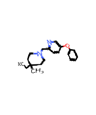 CC1(CC#N)CCN(Cc2ccc(Oc3ccccc3)cn2)CC1